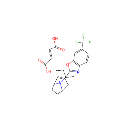 CCC(C)N1C2C=C(c3nc4ccc(C(F)(F)F)cc4o3)CC1CC2.O=C(O)C=CC(=O)O